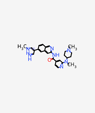 CN/C=C(\C=N)c1ccc2cnc(NC(=O)c3ccnc(N(C)C4CCN(C)CC4)c3)cc2c1